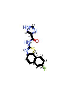 O=C(Nc1nc2ccc3cc(F)ccc3c2s1)c1c[nH]cn1